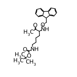 CC(=O)C(CCCCNC(=O)OC(C)(C)C)NOCC1c2ccccc2-c2ccccc21